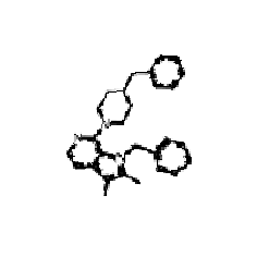 Cc1c(C)n(Cc2ccccc2)c2c(N3CCC(Cc4ccccc4)CC3)nccc12